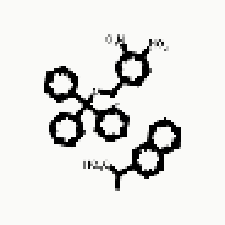 CC(C(=O)O)c1ccc2ccccc2c1.O=C(OC(c1ccccc1)(c1ccccc1)c1ccccc1)c1ccc([N+](=O)[O-])c([N+](=O)[O-])c1